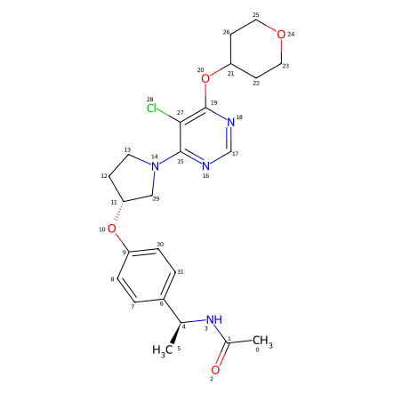 CC(=O)N[C@@H](C)c1ccc(O[C@@H]2CCN(c3ncnc(OC4CCOCC4)c3Cl)C2)cc1